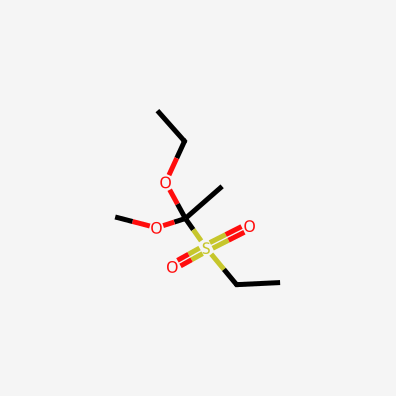 CCOC(C)(OC)S(=O)(=O)CC